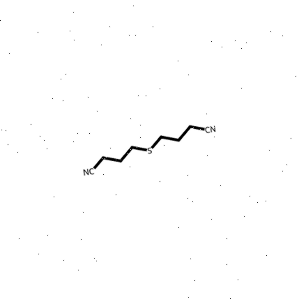 N#CCCCSCCCC#N